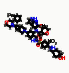 CC(C)c1ccccc1[C@@H]1COCCN1C1CC2(CCN(c3ccc(C(=O)NS(=O)(=O)c4ccc(NCC5CCC(C)(O)CC5)c([N+](=O)[O-])c4)c(N4C[C@H]5COCC[C@@H]5Oc5nc6[nH]ccc6cc54)c3)CC2)C1